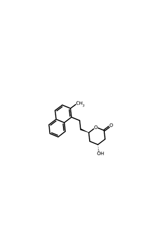 Cc1ccc2ccccc2c1CC[C@@H]1C[C@@H](O)CC(=O)O1